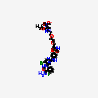 COc1nn(CCOCCOCCNS(=O)(=O)c2ccc(Nc3ncc(Br)c(Nc4cccc(F)c4C(N)=O)n3)cc2)cc1[N+](=O)[O-]